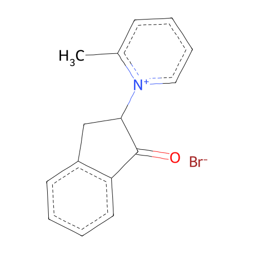 Cc1cccc[n+]1C1Cc2ccccc2C1=O.[Br-]